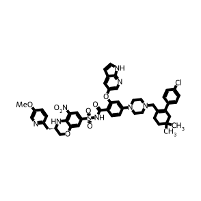 COc1ccc(C[C@H]2COc3cc(S(=O)(=O)NC(=O)c4ccc(N5CCN(CC6=C(c7ccc(Cl)cc7)CC(C)(C)CC6)CC5)cc4Oc4cnc5[nH]ccc5c4)cc([N+](=O)[O-])c3N2)nc1